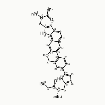 CCCC(=O)N(CCC)Cc1nc2ccc3cc4c(cc3c2[nH]1)OCc1cc(-c2cnc(CN(C(=O)CC(C)CC)[C@@H](C)CC)[nH]2)ccc1-4